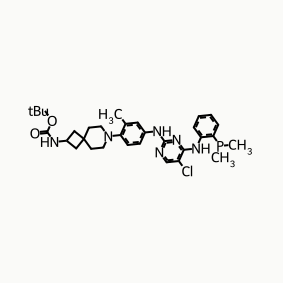 Cc1cc(Nc2ncc(Cl)c(Nc3ccccc3P(C)C)n2)ccc1N1CCC2(CC1)CC(NC(=O)OC(C)(C)C)C2